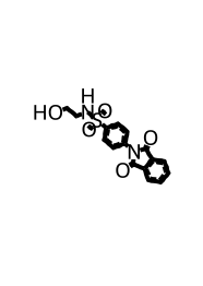 O=C1c2ccccc2C(=O)N1c1ccc(S(=O)(=O)NCCO)cc1